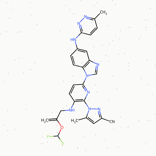 C=C(CNc1ccc(-n2cnc3cc(Nc4ccc(C)nn4)ccc32)nc1-n1nc(C#N)cc1C)OC(F)F